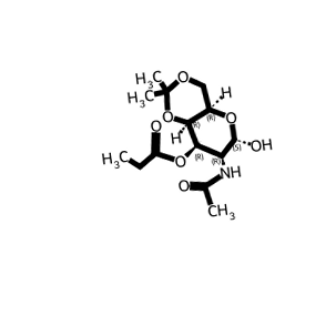 CCC(=O)O[C@@H]1[C@@H](NC(C)=O)[C@@H](O)O[C@@H]2COC(C)(C)O[C@H]12